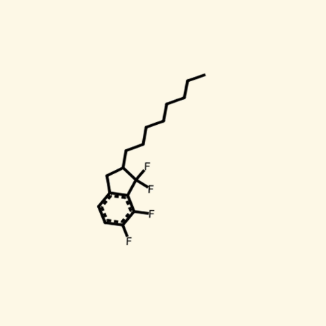 CCCCCCCCC1Cc2ccc(F)c(F)c2C1(F)F